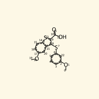 COc1cccc(Sc2c(C(=O)O)sc3ccc(OC)cc23)c1